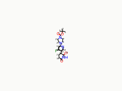 CC(C)(C)OC(=O)N1CCN(c2cc(F)c(C3CCC(=O)NC3=O)cn2)CC1